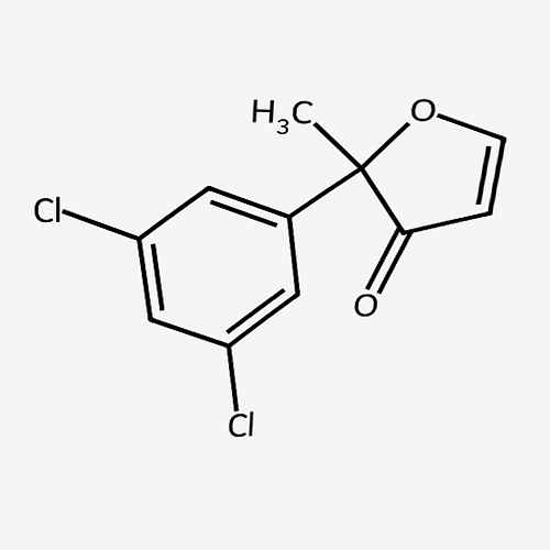 CC1(c2cc(Cl)cc(Cl)c2)OC=CC1=O